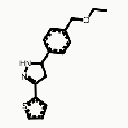 CCOCc1ccc(C2CC(c3cccs3)=NN2)cc1